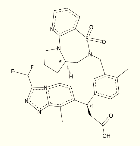 Cc1ccc([C@@H](CC(=O)O)c2ccn3c(C(F)F)nnc3c2C)cc1CN1C[C@H]2CCCN2c2ncccc2S1(=O)=O